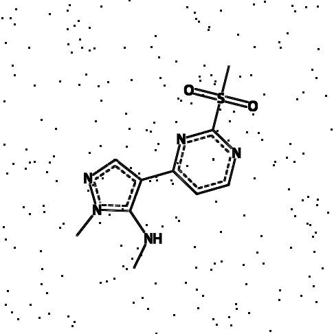 CNc1c(-c2ccnc(S(C)(=O)=O)n2)cnn1C